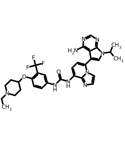 CCN1CCC(Oc2ccc(NC(=O)Nc3ccc(-c4cn(C(C)C)c5ncnc(N)c45)n4ccnc34)cc2C(F)(F)F)CC1